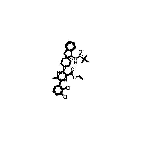 CCOC(=O)c1nc(-c2cccc(Cl)c2Cl)c(C)nc1N1CCC2(CC1)Cc1ccccc1[C@H]2N[S+]([O-])C(C)(C)C